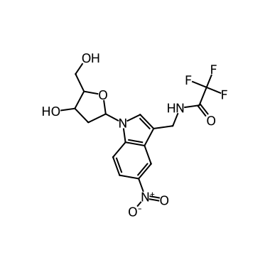 O=C(NCc1cn(C2CC(O)C(CO)O2)c2ccc([N+](=O)[O-])cc12)C(F)(F)F